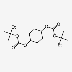 CCC(C)(C)OC(=O)OC1CCC(OC(=O)OC(C)(C)CC)CC1